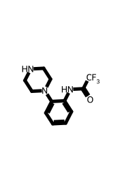 O=C(Nc1ccccc1N1CCNCC1)C(F)(F)F